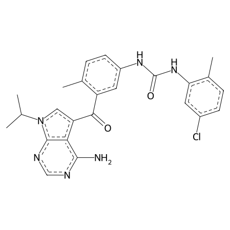 Cc1ccc(Cl)cc1NC(=O)Nc1ccc(C)c(C(=O)c2cn(C(C)C)c3ncnc(N)c23)c1